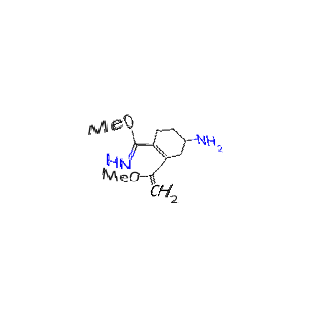 C=C(OC)C1=C(C(=N)OC)CCC(N)C1